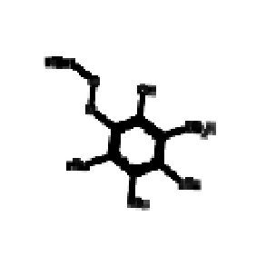 CCCCCCCCCOOc1c(O)c(C(=O)O)c(CCCC)c(CCCC)c1CCCC